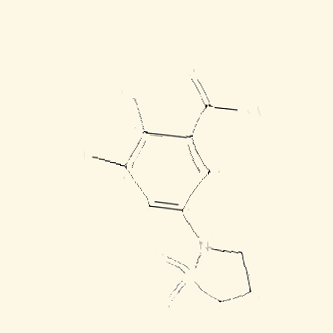 O=C(O)c1cc(N2CCCS2(=O)=O)cc(F)c1Cl